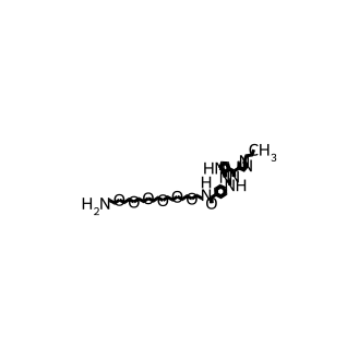 CCCn1cc(-c2nc(Nc3ccc(C(=O)NCCOCCOCCOCCOCCOCCOCCN)cc3)nc3[nH]ccc23)cn1